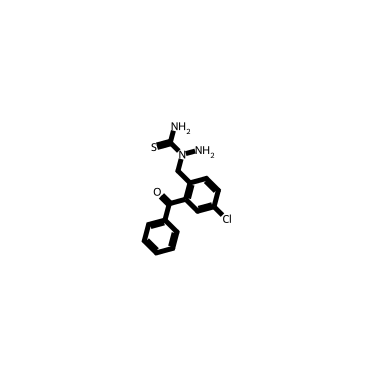 NC(=S)N(N)Cc1ccc(Cl)cc1C(=O)c1ccccc1